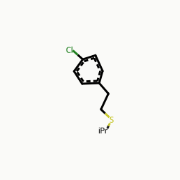 [CH2]C(C)SCCc1ccc(Cl)cc1